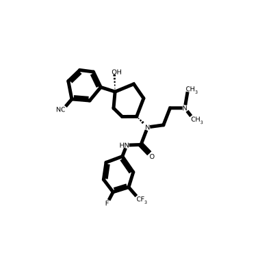 CN(C)CCN(C(=O)Nc1ccc(F)c(C(F)(F)F)c1)[C@H]1CC[C@](O)(c2cccc(C#N)c2)CC1